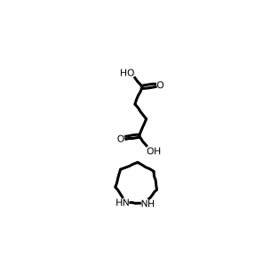 C1CCNNCC1.O=C(O)CCC(=O)O